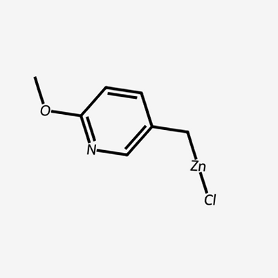 COc1ccc([CH2][Zn][Cl])cn1